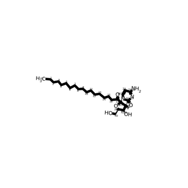 CCCCCCCCCCCCCCCCCC(=O)[C@@]1(n2ccc(N)nc2=O)O[C@H](CO)[C@@H](O)C1(F)F